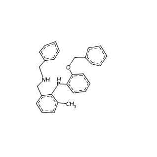 Cc1cccc(CNCc2ccccc2)c1Pc1ccccc1OCc1ccccc1